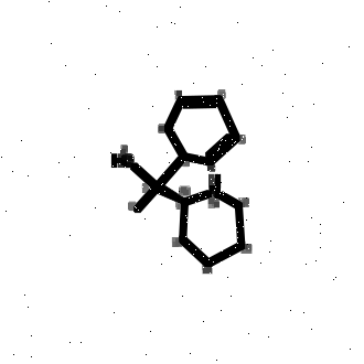 CC(O)(C1C=CC=CC1)[C@@H]1CCCCN1